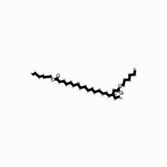 CCCCCCOC(=O)CCCCCCCCCCCCCCCC(CC)CC(=O)OCCCCCC